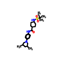 CC1CC(C)CN(c2ccc(NC(=O)C3CCC(NS(=O)(=O)C(C)(C)C)CC3)cc2)C1